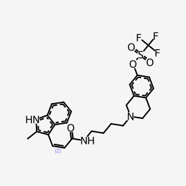 Cc1[nH]c2ccccc2c1/C=C\C(=O)NCCCCN1CCc2ccc(OS(=O)(=O)C(F)(F)F)cc2C1